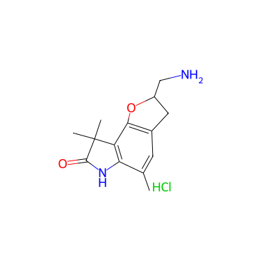 Cc1cc2c(c3c1NC(=O)C3(C)C)OC(CN)C2.Cl